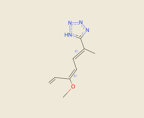 C=C/C(=C\C=C(/C)c1nnn[nH]1)OC